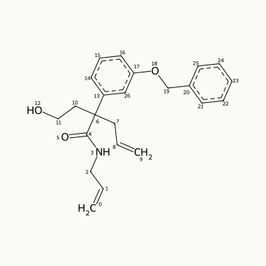 C=CCNC(=O)C(CC=C)(CCO)c1cccc(OCc2ccccc2)c1